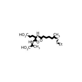 CCSSC(C)CCCCC(=O)NC(CCC(=O)O)C(=O)NC(C)C(=O)O